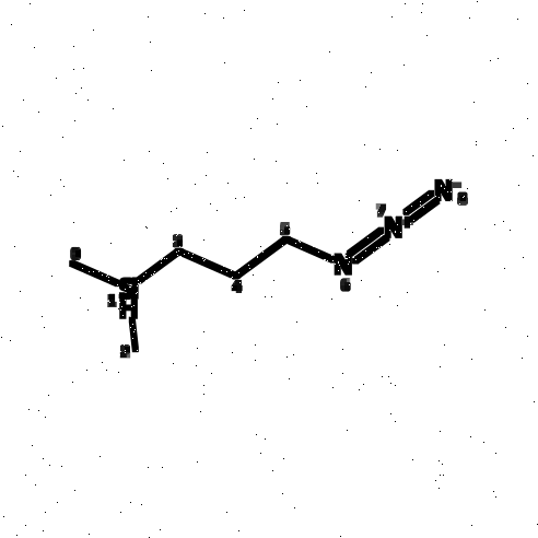 C[SiH](C)CCCN=[N+]=[N-]